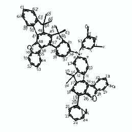 Cc1cc(C)cc(N(c2ccc3c(c2)C(C)(C)c2cc(-c4ccccn4)c4oc5ccccc5c4c2-3)c2ccc3c(c2)C(C)(C)c2c4c(c5oc6ccccc6c5c2-3)-c2ccccc2C4(C)C)c1